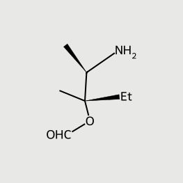 CC[C@](C)(OC=O)[C@@H](C)N